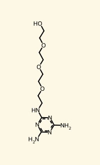 Nc1nc(N)nc(NCCOCCOCCOCCO)n1